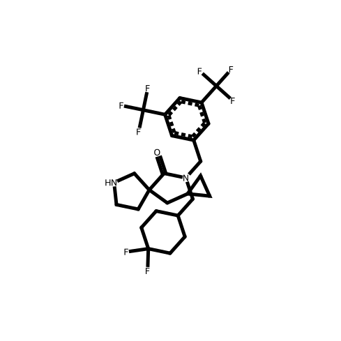 O=C(N(Cc1cc(C(F)(F)F)cc(C(F)(F)F)c1)CC1CCC(F)(F)CC1)C1(CC2CC2)CCNC1